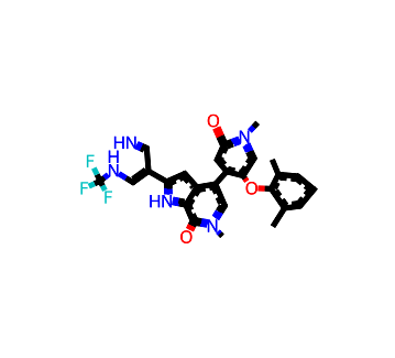 Cc1cccc(C)c1Oc1cn(C)c(=O)cc1-c1cn(C)c(=O)c2[nH]c(/C(C=N)=C/NC(F)(F)F)cc12